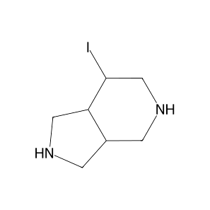 IC1CNCC2CNCC12